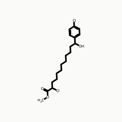 COC(=O)C(Cl)CCCCCCCCCC(O)c1ccc(Cl)cc1